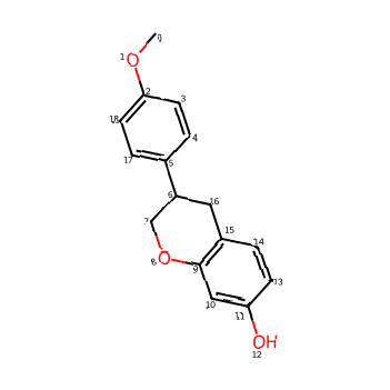 COc1ccc(C2COc3cc(O)ccc3C2)cc1